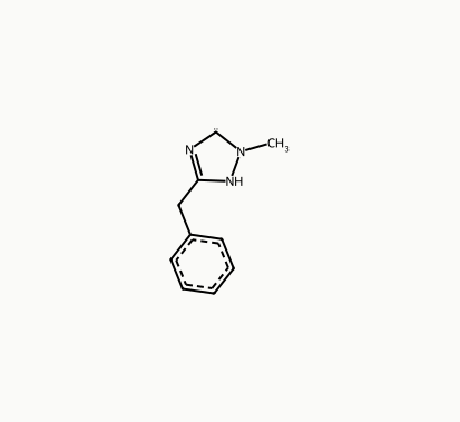 CN1[C]N=C(Cc2ccccc2)N1